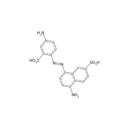 Nc1ccc(/N=N/c2ccc(N)c3ccc(S(=O)(=O)O)cc23)c(S(=O)(=O)O)c1